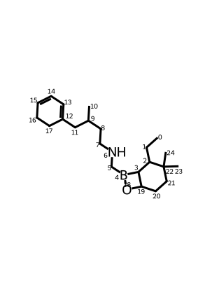 CCC1C2B(CNCCC(C)CC3=CC=CCC3)OC2CCC1(C)C